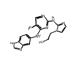 OCCn1ccnc1Nc1ncc(F)c(Nc2ccc3[nH]cnc3c2)n1